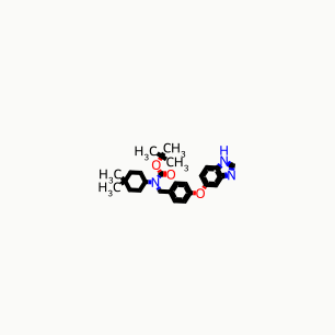 CC1(C)CCC(N(Cc2ccc(Oc3ccc4[nH]cnc4c3)cc2)C(=O)OC(C)(C)C)CC1